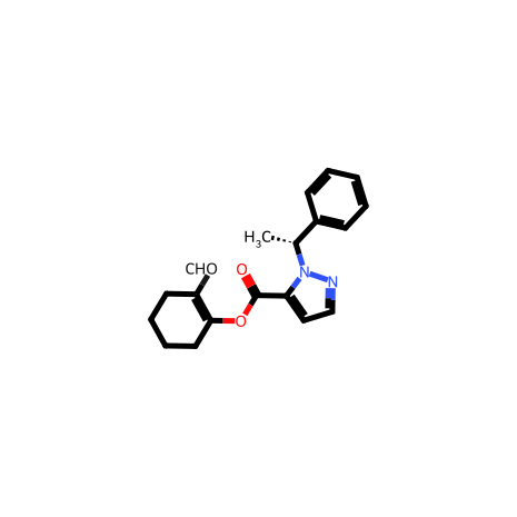 C[C@H](c1ccccc1)n1nccc1C(=O)OC1=C(C=O)CCCC1